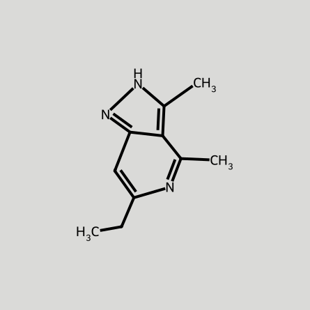 CCc1cc2n[nH]c(C)c2c(C)n1